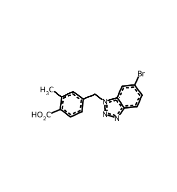 Cc1cc(Cn2nnc3ccc(Br)cc32)ccc1C(=O)O